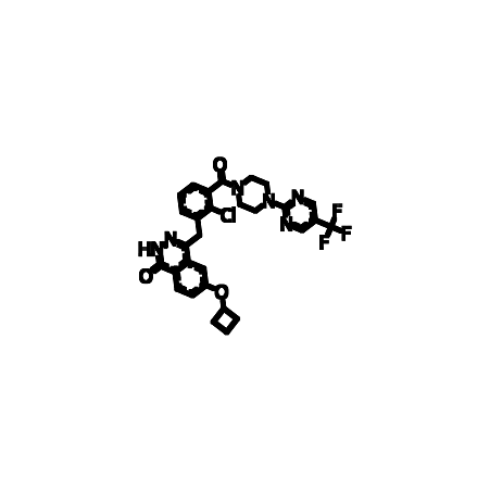 O=C(c1cccc(Cc2n[nH]c(=O)c3ccc(OC4CCC4)cc23)c1Cl)N1CCN(c2ncc(C(F)(F)F)cn2)CC1